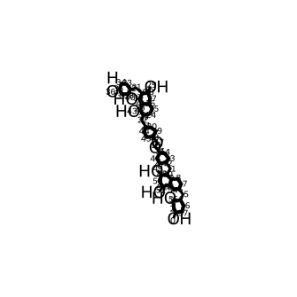 Oc1ccc(Cc2ccc3c(Cc4ccc(OOc5ccc(Cc6ccc7cc(O)c(Cc8ccc(O)cc8)c(O)c7c6O)cc5)cc4)c(O)cc(O)c3c2O)cc1